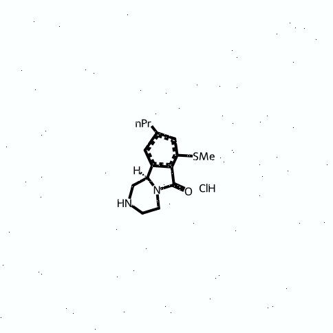 CCCc1cc(SC)c2c(c1)[C@@H]1CNCCN1C2=O.Cl